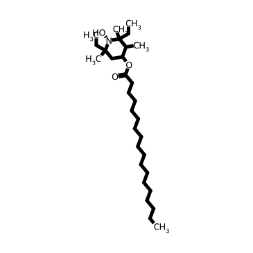 CCCCCCCCCCCCCCCCCC(=O)OC1CC(C)(CC)N(O)C(C)(CC)C1C